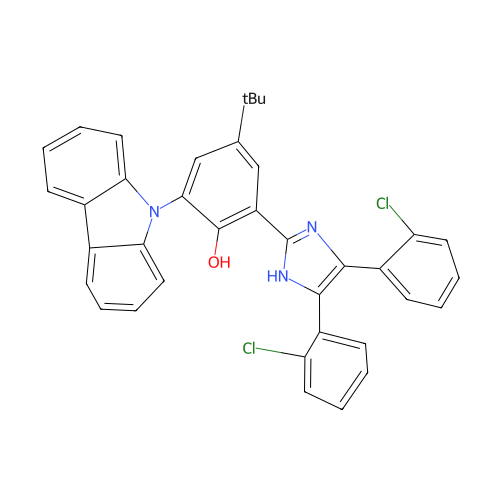 CC(C)(C)c1cc(-c2nc(-c3ccccc3Cl)c(-c3ccccc3Cl)[nH]2)c(O)c(-n2c3ccccc3c3ccccc32)c1